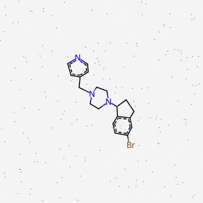 Brc1ccc2c(c1)CCC2N1CCN(Cc2ccncc2)CC1